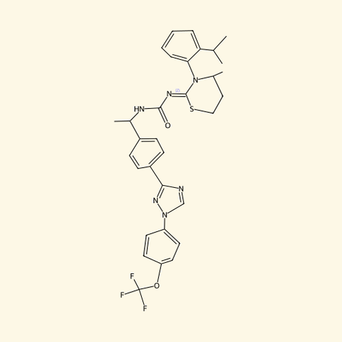 CC(C)c1ccccc1N1/C(=N/C(=O)NC(C)c2ccc(-c3ncn(-c4ccc(OC(F)(F)F)cc4)n3)cc2)SCCC1C